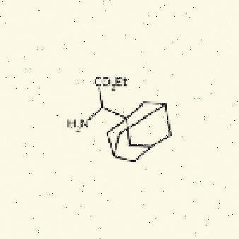 CCOC(=O)C(N)C12CC3CC(CC(C3)C1)C2